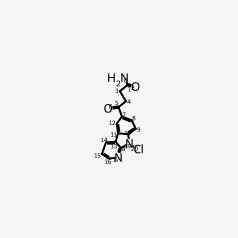 NC(=O)CCC(=O)c1ccc2c(c1)c1cccnc1n2Cl